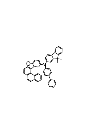 CC1(C)c2ccccc2-c2ccc(N(c3ccc(-c4ccccc4)cc3)c3ccc4oc5ccc6ccc7ccccc7c6c5c4c3)cc21